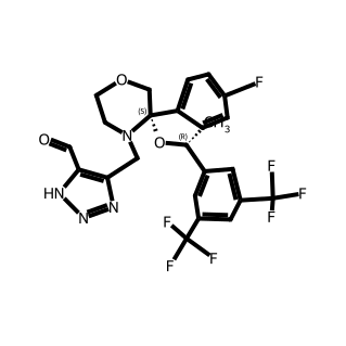 C[C@@H](O[C@@]1(c2ccc(F)cc2)COCCN1Cc1nn[nH]c1C=O)c1cc(C(F)(F)F)cc(C(F)(F)F)c1